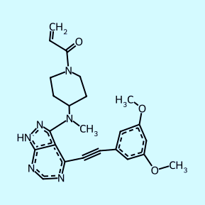 C=CC(=O)N1CCC(N(C)c2n[nH]c3ncnc(C#Cc4cc(OC)cc(OC)c4)c23)CC1